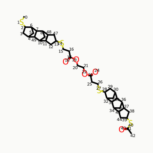 CSC1CC2CC1C1C3CC(C4CC(SCCC(=O)OCCOC(=O)CCSC5CC6CC5C5C7CC(C8CC(SC(C)=O)CC87)C65)CC43)C21